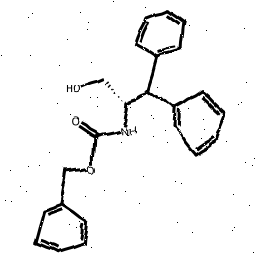 O=C(N[C@H](CO)C(c1ccccc1)c1ccccc1)OCc1ccccc1